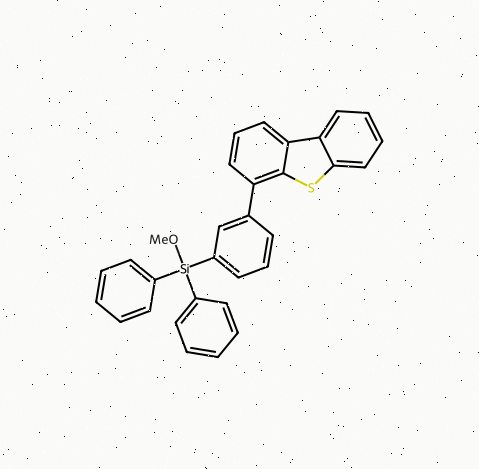 CO[Si](c1ccccc1)(c1ccccc1)c1cccc(-c2cccc3c2sc2ccccc23)c1